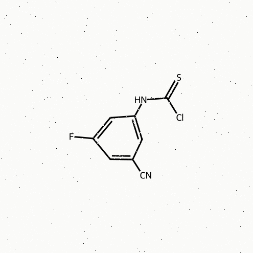 N#Cc1cc(F)cc(NC(=S)Cl)c1